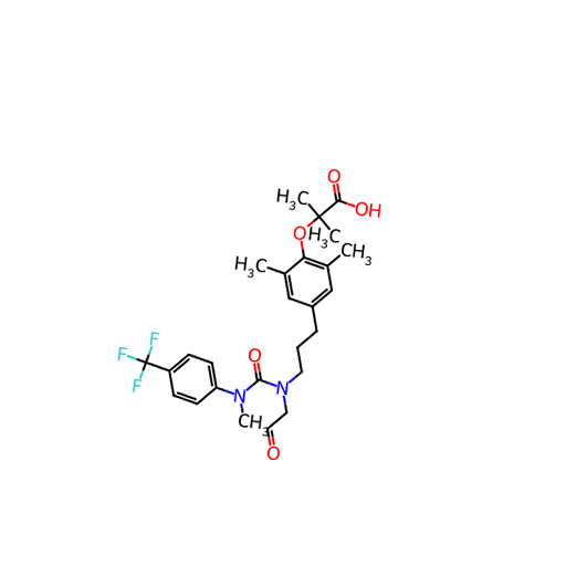 Cc1cc(CCCN(CC=O)C(=O)N(C)c2ccc(C(F)(F)F)cc2)cc(C)c1OC(C)(C)C(=O)O